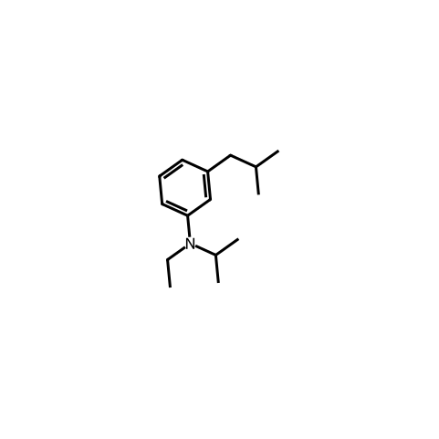 CCN(c1cccc(CC(C)C)c1)C(C)C